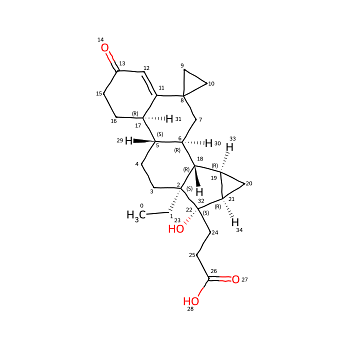 CC[C@]12CC[C@H]3[C@@H](CC4(CC4)C4=CC(=O)CC[C@@H]43)[C@@H]1[C@H]1C[C@H]1[C@@]2(O)CCC(=O)O